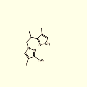 CCCc1nn(CC(C)c2n[nH]cc2C)cc1I